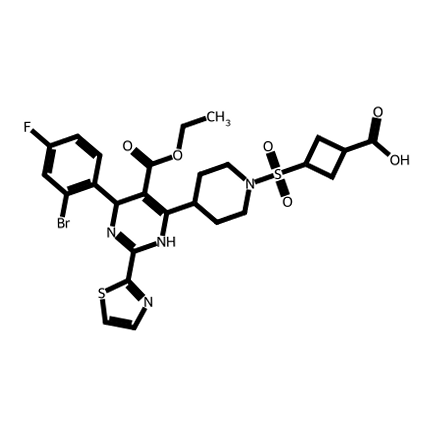 CCOC(=O)C1=C(C2CCN(S(=O)(=O)C3CC(C(=O)O)C3)CC2)NC(c2nccs2)=NC1c1ccc(F)cc1Br